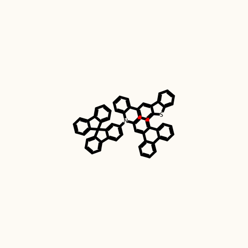 c1ccc(N(c2ccc3c(c2)C2(c4ccccc4-c4ccccc42)c2ccccc2-3)c2ccc3c4ccccc4c4ccccc4c3c2)c(-c2ccc3sc4ccccc4c3c2)c1